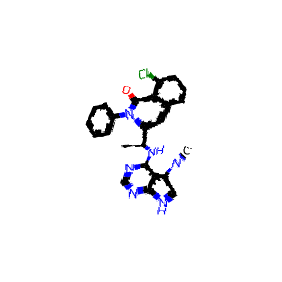 [C-]#[N+]c1c[nH]c2ncnc(N[C@@H](C)c3cc4cccc(Cl)c4c(=O)n3-c3ccccc3)c12